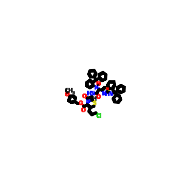 COc1ccc(COC(=O)C2=C(/C=C\CCl)CS[C@H]3[C@H](NC(=O)C(=NOC(c4ccccc4)(c4ccccc4)c4ccccc4)c4csc(NC(c5ccccc5)(c5ccccc5)c5ccccc5)n4)C(=O)N23)cc1